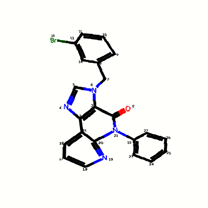 O=c1c2c(ncn2Cc2cccc(Br)c2)c2cccnc2n1-c1ccccc1